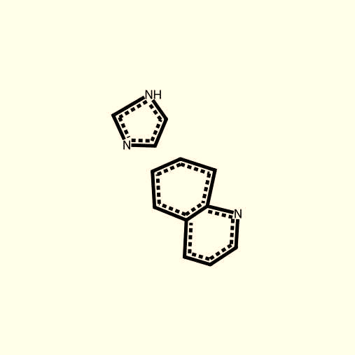 c1c[nH]cn1.c1ccc2ncccc2c1